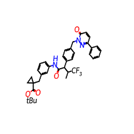 CC(C(C(=O)Nc1cccc(CC2(C(=O)OC(C)(C)C)CC2)c1)c1ccc(Cn2nc(-c3ccccc3)ccc2=O)cc1)C(F)(F)F